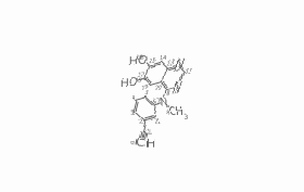 C#Cc1cccc(N(C)c2ncnc3cc(O)c(O)cc23)c1